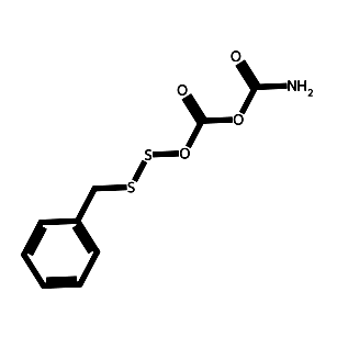 NC(=O)OC(=O)OSSCc1ccccc1